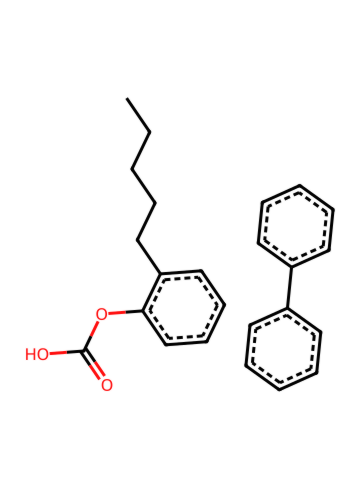 CCCCCc1ccccc1OC(=O)O.c1ccc(-c2ccccc2)cc1